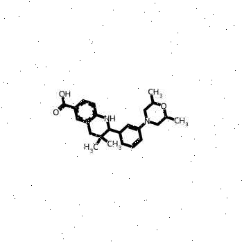 CC1CN(C2=CC(C3Nc4ccc(C(=O)O)cc4CC3(C)C)CC=C2)CC(C)O1